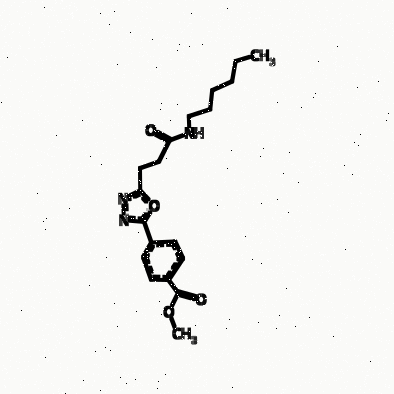 CCCCCCNC(=O)CCc1nnc(-c2ccc(C(=O)OC)cc2)o1